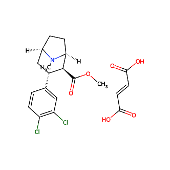 COC(=O)[C@H]1[C@H](c2ccc(Cl)c(Cl)c2)C[C@H]2CC[C@@H]1N2C.O=C(O)/C=C/C(=O)O